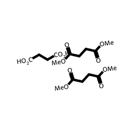 COC(=O)CCC(=O)OC.COC(=O)CCC(=O)OC.O=C(O)CCC(=O)O